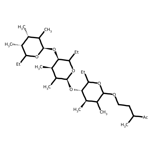 CCC1OC(OCCC(C)C(C)=O)C(C)[C@@H](C)[C@@H]1O[C@@H]1OC(CC)[C@H](O[C@H]2OC(CC)[C@H](C)[C@H](C)C2C)[C@H](C)C1C